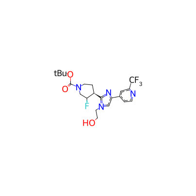 CC(C)(C)OC(=O)N1CC[C@@H](c2nc(-c3ccnc(C(F)(F)F)c3)cn2CCO)[C@@H](F)C1